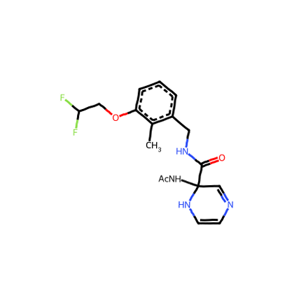 CC(=O)NC1(C(=O)NCc2cccc(OCC(F)F)c2C)C=NC=CN1